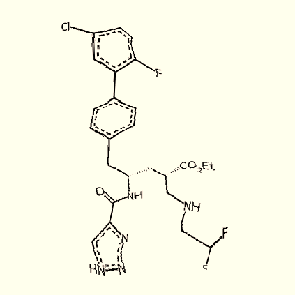 CCOC(=O)[C@H](CNCC(F)F)C[C@@H](Cc1ccc(-c2cc(Cl)ccc2F)cc1)NC(=O)c1c[nH]nn1